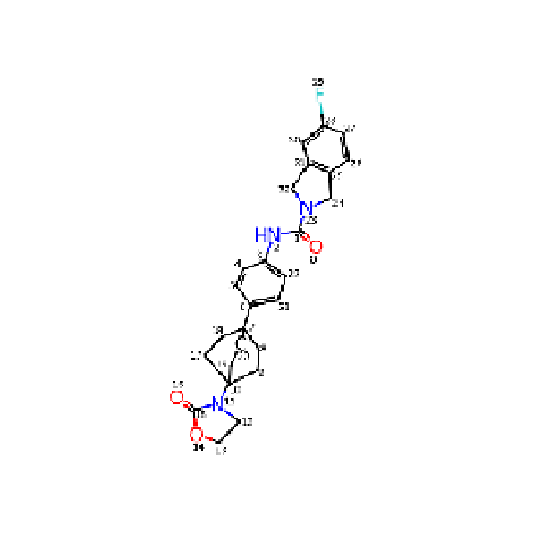 O=C(Nc1ccc(C23CCC(N4CCOC4=O)(CC2)CC3)cc1)N1Cc2ccc(F)cc2C1